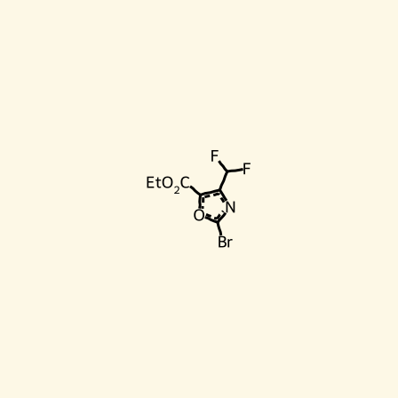 CCOC(=O)c1oc(Br)nc1C(F)F